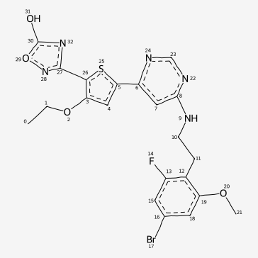 CCOc1cc(-c2cc(NCCc3c(F)cc(Br)cc3OC)ncn2)sc1-c1noc(O)n1